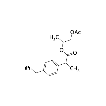 CC(=O)OCC(C)OC(=O)C(C)c1ccc(CC(C)C)cc1